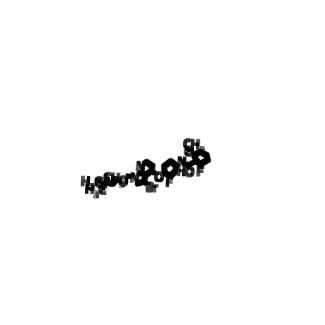 COc1cccc(F)c1C(=O)Nc1ccc(Oc2ccnc3c2c(Br)cn3COCC[Si](C)(C)C)c(F)c1